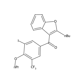 CCCCc1oc2ccccc2c1C(=O)c1cc(I)c(OCCC)c(C(F)(F)F)c1